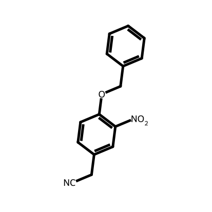 N#CCc1ccc(OCc2ccccc2)c([N+](=O)[O-])c1